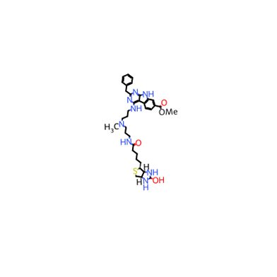 COC(=O)c1ccc2c(c1)[nH]c1nc(Cc3ccccc3)nc(NCCCN(C)CCCNC(=O)CCCC[C@@H]3SC[C@@H]4NC(O)N[C@@H]43)c12